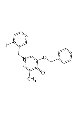 Cc1cn(Cc2ccccc2I)cc(OCc2ccccc2)c1=O